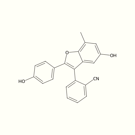 Cc1cc(O)cc2c(-c3ccccc3C#N)c(-c3ccc(O)cc3)oc12